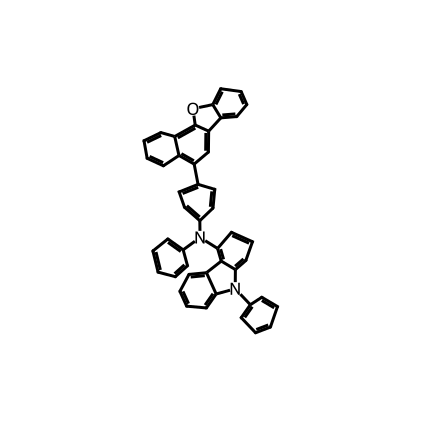 c1ccc(N(c2ccc(-c3cc4c5ccccc5oc4c4ccccc34)cc2)c2cccc3c2c2ccccc2n3-c2ccccc2)cc1